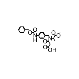 COC(=O)C(C)N(Cc1ccc(NC(=O)OCc2ccccc2)cc1)C(=O)CC(=O)O